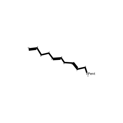 [CH2]CCCCC/C=C/C/C=C/CCC=C